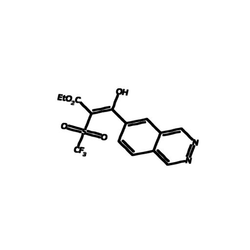 CCOC(=O)/C(=C(\O)c1ccc2cnncc2c1)S(=O)(=O)C(F)(F)F